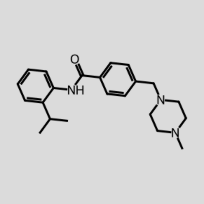 CC(C)c1ccccc1NC(=O)c1ccc(CN2CCN(C)CC2)cc1